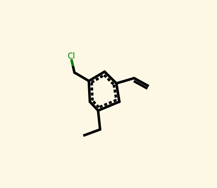 C=Cc1cc(CC)cc(CCl)c1